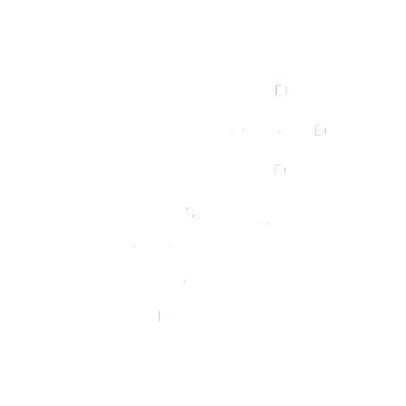 CC[Si](CC)(CC)O[C@@H]1C(=O)N(C(=O)OC(C)C)[C@@H]1c1ccccc1